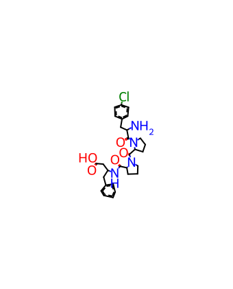 NC(Cc1ccc(Cl)cc1)C(=O)N1CCCC1C(=O)N1CCCC1C(=O)NC(CC(=O)O)Cc1ccccc1